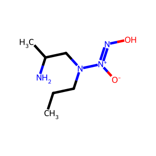 CCCN(CC(C)N)/[N+]([O-])=N/O